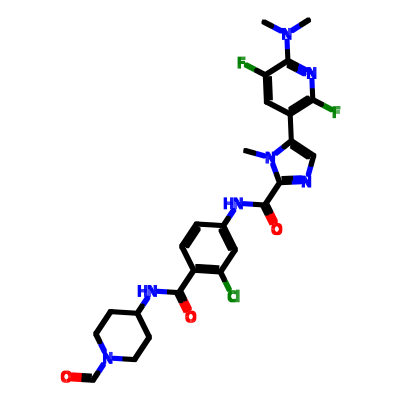 CN(C)c1nc(F)c(-c2cnc(C(=O)Nc3ccc(C(=O)NC4CCN(C=O)CC4)c(Cl)c3)n2C)cc1F